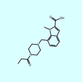 CCC(=O)N1CCN(Cc2cccc3cc(C(=O)O)n(C)c23)CC1